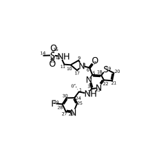 C[C@H](Nc1nc(C(=O)N2CC(CNS(C)(=O)=O)C2)c2sccc2n1)c1cncc(F)c1